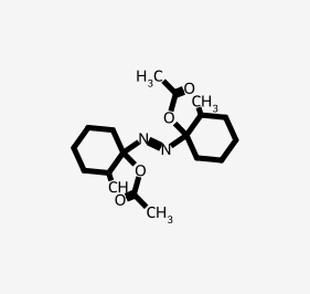 CC(=O)OC1(N=NC2(OC(C)=O)CCCCC2C)CCCCC1C